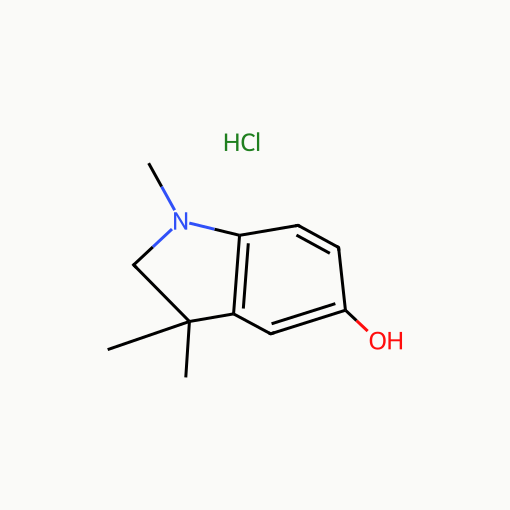 CN1CC(C)(C)c2cc(O)ccc21.Cl